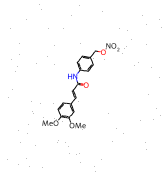 COc1ccc(/C=C/C(=O)Nc2ccc(CO[N+](=O)[O-])cc2)cc1OC